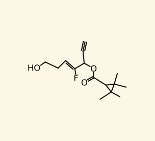 C#CC(OC(=O)C1C(C)(C)C1(C)C)C(F)=CCCO